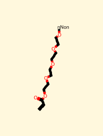 C=CC(=O)OCCOCCOCCOCCOCCCCCCCCC